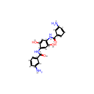 Nc1cccc(C(=O)Nc2cc(O)c(NC(=O)c3cccc(N)c3)cc2O)c1